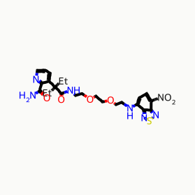 CCC(CC)(C(=O)NCCOCCOCCNc1ccc([N+](=O)[O-])c2nsnc12)c1cccnc1C(N)=O